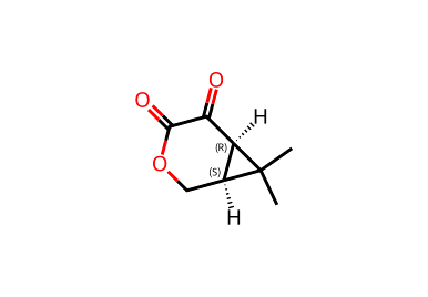 CC1(C)[C@@H]2C(=O)C(=O)OC[C@@H]21